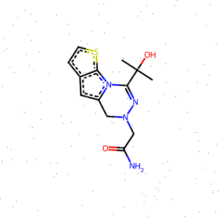 CC(C)(O)C1=NN(CC(N)=O)Cc2cc3ccsc3n21